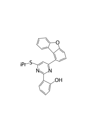 CC(C)Sc1cc(-c2cccc3oc4ccccc4c23)nc(-c2ccccc2O)n1